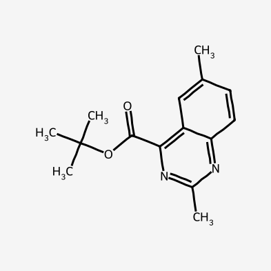 Cc1ccc2nc(C)nc(C(=O)OC(C)(C)C)c2c1